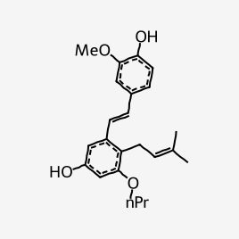 CCCOc1cc(O)cc(C=Cc2ccc(O)c(OC)c2)c1CC=C(C)C